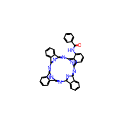 O=C(Nc1cccc2c3nc4nc(nc5[nH]c(nc6nc(nc([nH]3)c12)-c1ccccc1-6)c1ccccc51)-c1ccccc1-4)c1ccccc1